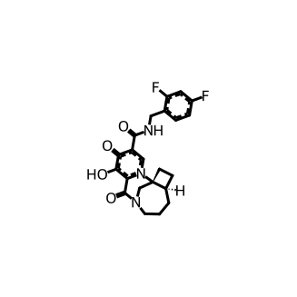 O=C(NCc1ccc(F)cc1F)c1cn2c(c(O)c1=O)C(=O)N1CCC[C@@H]3CC[C@]32C1